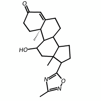 Cc1noc(C2CCC3C4CCC5=CC(=O)CC[C@]5(C)C4C(O)CC23C)n1